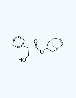 O=C(OC1CC2C=CC(C2)C1)C(CO)c1ccccc1